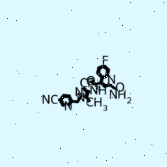 Cc1c(NC(=O)c2cc(C(N)=O)nc3cc(F)ccc23)c(C(F)(F)F)nn1Cc1ccc(C#N)cn1